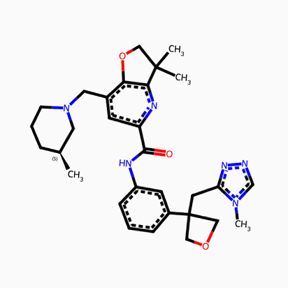 C[C@H]1CCCN(Cc2cc(C(=O)Nc3cccc(C4(Cc5nncn5C)COC4)c3)nc3c2OCC3(C)C)C1